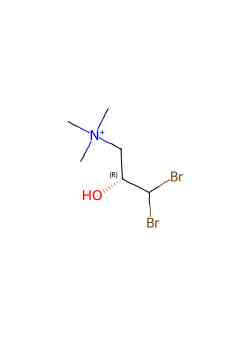 C[N+](C)(C)C[C@@H](O)C(Br)Br